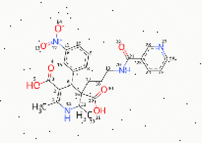 CC1=C(C(=O)O)C(c2cccc([N+](=O)[O-])c2)C(CCCNC(=O)c2cccnc2)(C(=O)O)C(C)N1